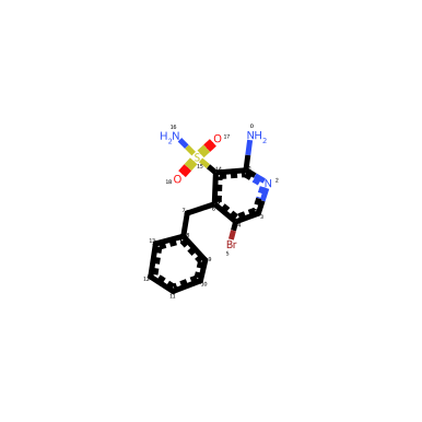 Nc1ncc(Br)c(Cc2ccccc2)c1S(N)(=O)=O